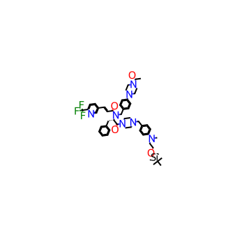 CC(=O)N1CCN(c2ccc(CN(C(=O)C=Cc3ccc(C(F)(F)F)nc3)[C@@H](Cc3ccccc3)C(=O)N3CCN(Cc4ccc(N(C)CCO[Si](C)(C)C(C)(C)C)cc4)CC3)cc2)CC1